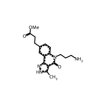 COC(=O)CCc1ccc2c(c1)c1n[nH]c(C)c1c(=O)n2CCCN